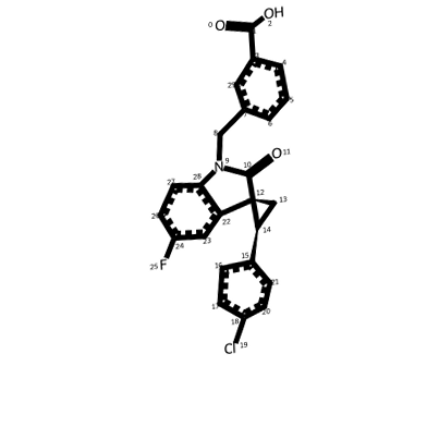 O=C(O)c1cccc(CN2C(=O)[C@@]3(C[C@H]3c3ccc(Cl)cc3)c3cc(F)ccc32)c1